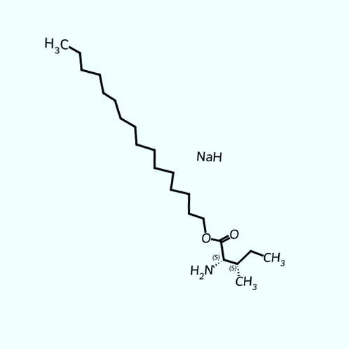 CCCCCCCCCCCCCCCCOC(=O)[C@@H](N)[C@@H](C)CC.[NaH]